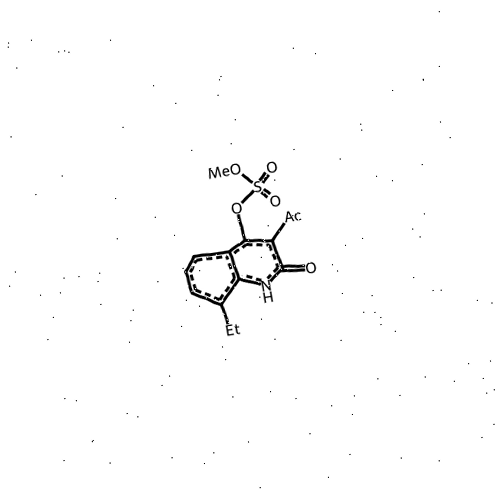 CCc1cccc2c(OS(=O)(=O)OC)c(C(C)=O)c(=O)[nH]c12